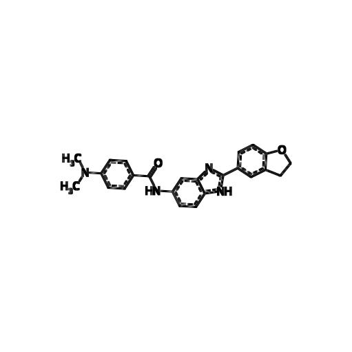 CN(C)c1ccc(C(=O)Nc2ccc3[nH]c(-c4ccc5c(c4)CCO5)nc3c2)cc1